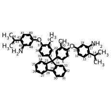 Cc1cc(C2(c3ccc(Oc4ccc(C(C)C)c(N)c4)c(C)c3)c3ccccc3-c3ccccc32)ccc1Oc1ccc(C(C)C)c(N)c1